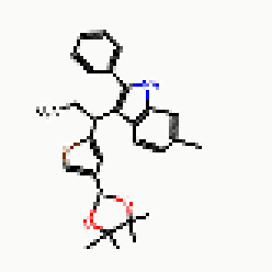 Cc1ccc2c(C(C[N+](=O)[O-])c3cc(B4OC(C)(C)C(C)(C)O4)cs3)c(-c3ccccc3)[nH]c2c1